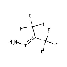 NN=C(C(F)(F)F)C(F)(F)F